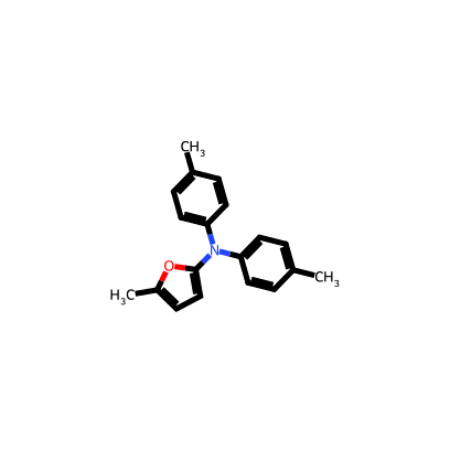 Cc1ccc(N(c2ccc(C)cc2)c2ccc(C)o2)cc1